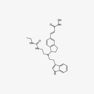 CCNC(=O)NCCN(CCc1c[nH]c2ccccc12)C1CCc2cc(C=CC(=O)NO)ccc21